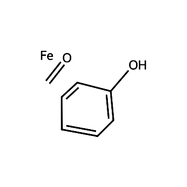 C=O.Oc1ccccc1.[Fe]